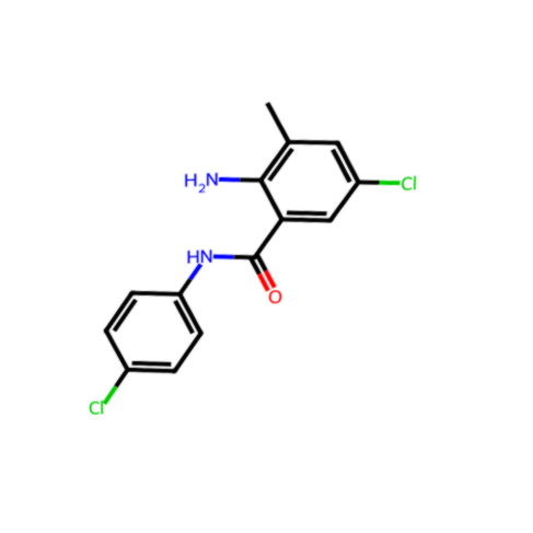 Cc1cc(Cl)cc(C(=O)Nc2ccc(Cl)cc2)c1N